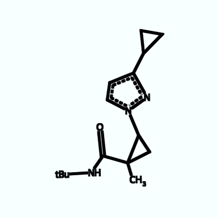 CC(C)(C)NC(=O)C1(C)CC1n1ccc(C2CC2)n1